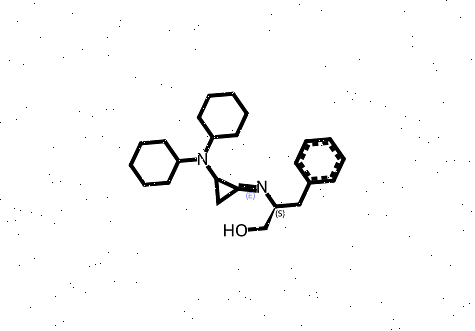 OC[C@H](Cc1ccccc1)/N=C1\CC1N(C1CCCCC1)C1CCCCC1